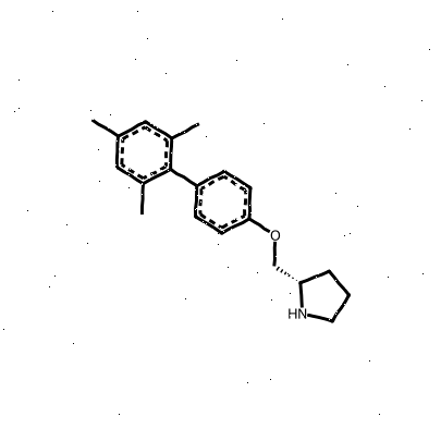 Cc1cc(C)c(-c2ccc(OC[C@@H]3CCCN3)cc2)c(C)c1